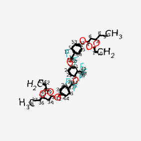 C=CC(=O)OC(CCCCC)Oc1ccc(C(F)(F)Oc2ccc(OC(F)(F)c3ccc(OC(CCCCC)OC(=O)C=C)cc3)c(C(F)(F)F)c2)cc1